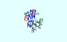 Cc1nc(C2(NC(=O)c3cnc(C4CC4)c(-c4cccc(Cl)c4)n3)CCC2)no1